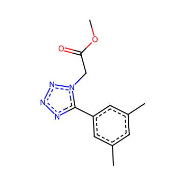 COC(=O)Cn1nnnc1-c1cc(C)cc(C)c1